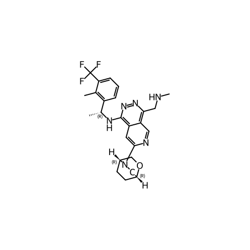 CNCc1nnc(N[C@H](C)c2cccc(C(F)(F)F)c2C)c2cc(N3C[C@H]4CC[C@@H]3CO4)ncc12